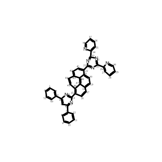 c1ccc(-c2cc(-c3ccccc3)nc(-c3ccc4ccc5c(-c6nc(-c7ccccn7)nc(-c7ccccn7)n6)ccc6ccc3c4c65)n2)cc1